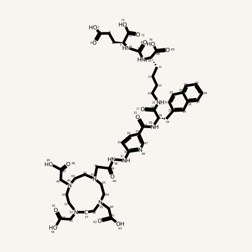 O=C(O)CC[C@H](NC(=O)N[C@@H](CCCCNC(=O)[C@H](Cc1ccc2ccccc2c1)NC(=O)c1ccc(NNC(=O)CN2CCN(CC(=O)O)CCN(CC(=O)O)CCN(CC(=O)O)CC2)nc1)C(=O)O)C(=O)O